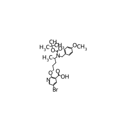 COc1ccc(CN(C(=O)OC(C)(C)C)C(C)CCCOc2ncc(Br)cc2C(=O)O)cc1